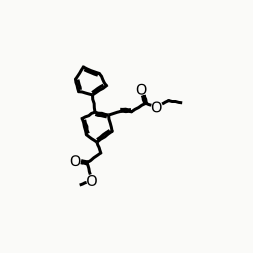 CCOC(=O)C=Cc1cc(CC(=O)OC)ccc1-c1ccccc1